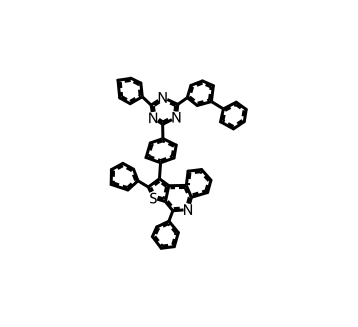 c1ccc(-c2cccc(-c3nc(-c4ccccc4)nc(-c4ccc(-c5c(-c6ccccc6)sc6c(-c7ccccc7)nc7ccccc7c56)cc4)n3)c2)cc1